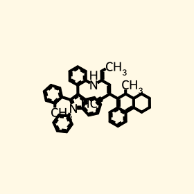 C#C/C(=C\C(=C/C)Nc1ccccc1-c1c(-c2ccccc2C)n(-c2ccccc2)c2ccccc12)C1=c2ccccc2=C2CCCCC2C1C